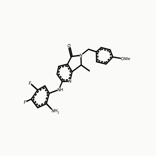 COc1ccc(CN2C(=O)c3ccc(Nc4cc(F)c(F)cc4N)nc3C2C)cc1